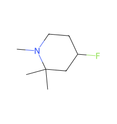 CN1CCC(F)CC1(C)C